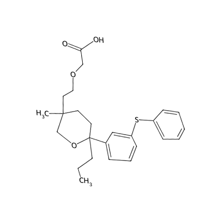 CCCC1(c2cccc(Sc3ccccc3)c2)CCC(C)(CCOCC(=O)O)CO1